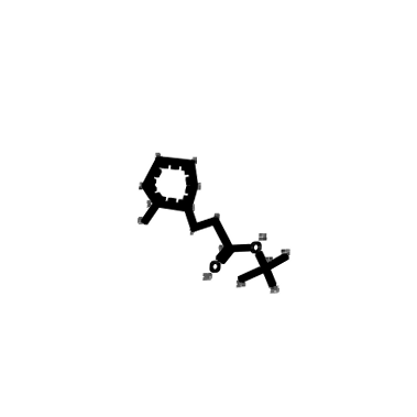 Cc1ccccc1CCC(=O)OC(C)(C)C